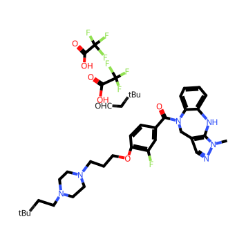 CC(C)(C)CC=O.Cn1ncc2c1Nc1ccccc1N(C(=O)c1ccc(OCCCN3CCN(CCC(C)(C)C)CC3)c(F)c1)C2.O=C(O)C(F)(F)F.O=C(O)C(F)(F)F